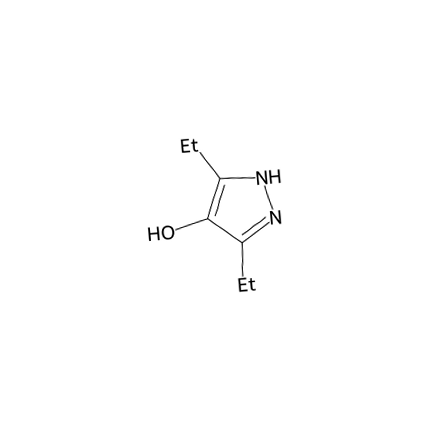 CCc1n[nH]c(CC)c1O